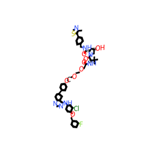 Cc1ncsc1-c1ccc(CNC(=O)[C@@H]2C[C@@H](O)CN2C(=O)[C@@H](NC(=O)COCCOCCOc2ccc(-c3ccc4ncnc(Nc5ccc(OCc6cccc(F)c6)c(Cl)c5)c4c3)cc2)C(C)(C)C)cc1